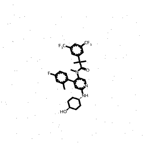 Cc1cc(F)ccc1-c1cc(N[C@H]2CC[C@H](O)CC2)ncc1N(C)C(=O)C(C)(C)c1cc(C(F)(F)F)cc(C(F)(F)F)c1